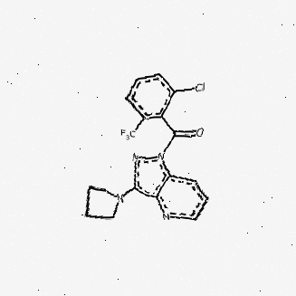 O=C(c1c(Cl)cccc1C(F)(F)F)n1nc(N2C[CH]C2)c2ncccc21